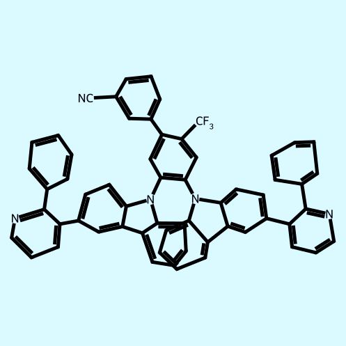 N#Cc1cccc(-c2cc(-n3c4ccccc4c4cc(-c5cccnc5-c5ccccc5)ccc43)c(-n3c4ccccc4c4cc(-c5cccnc5-c5ccccc5)ccc43)cc2C(F)(F)F)c1